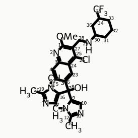 COc1nc2ccc(C(O)(c3cnc(C)n3C)c3cnc(C)n3C)cc2c(Cl)c1CNC1CCCC(C(F)(F)F)C1